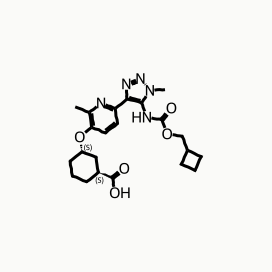 Cc1nc(-c2nnn(C)c2NC(=O)OCC2CCC2)ccc1O[C@H]1CCC[C@H](C(=O)O)C1